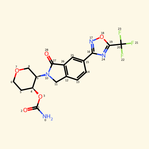 NC(=O)O[C@H]1CCOC[C@H]1N1Cc2ccc(-c3noc(C(F)(F)F)n3)cc2C1=O